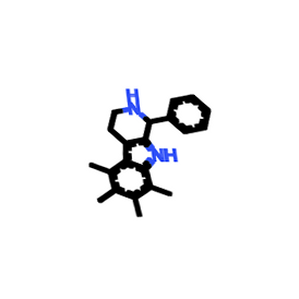 Cc1c(C)c(C)c2c3c([nH]c2c1C)C(c1ccccc1)NCC3